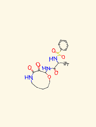 CC(C)C(NS(=O)(=O)c1ccccc1)C(=O)NC1OCCCCCNC(=O)C1=O